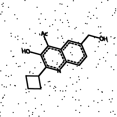 CC(=O)c1c(O)c(C2CCC2)nc2ccc(CO)cc12